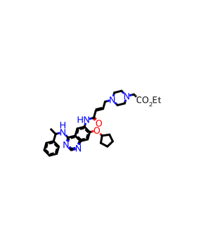 CCOC(=O)CN1CCN(CC=CC(=O)Nc2cc3c(NC(C)c4ccccc4)ncnc3cc2OC2CCCC2)CC1